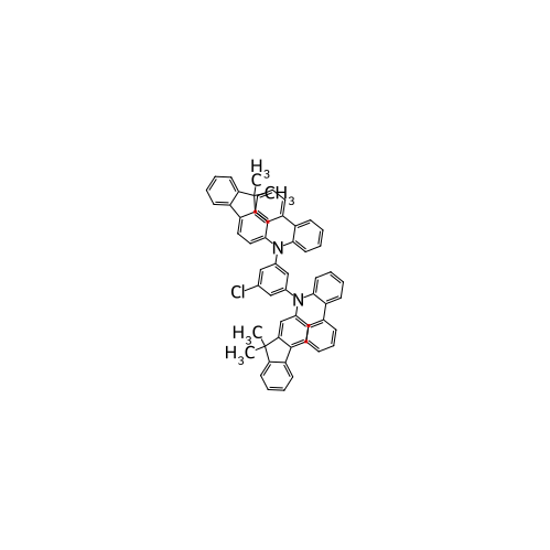 CC1(C)c2ccccc2-c2ccc(N(c3cc(Cl)cc(N(c4ccc5c(c4)C(C)(C)c4ccccc4-5)c4ccccc4-c4ccccc4)c3)c3ccccc3-c3ccccc3)cc21